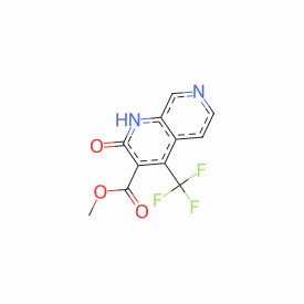 COC(=O)c1c(C(F)(F)F)c2ccncc2[nH]c1=O